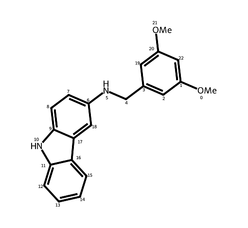 COc1cc(CNc2ccc3[nH]c4ccccc4c3c2)cc(OC)c1